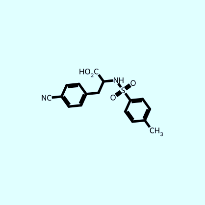 Cc1ccc(S(=O)(=O)NC(Cc2ccc(C#N)cc2)C(=O)O)cc1